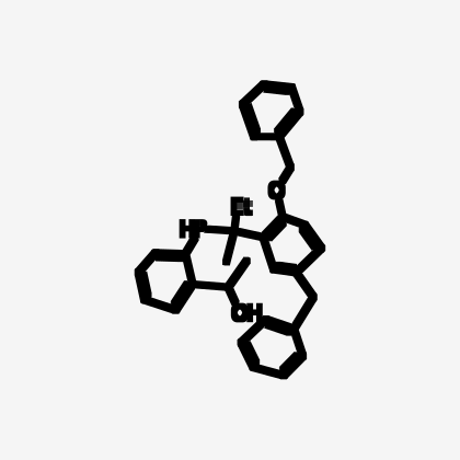 CCC(C)(Pc1ccccc1C(C)O)c1cc(Cc2ccccc2)ccc1OCc1ccccc1